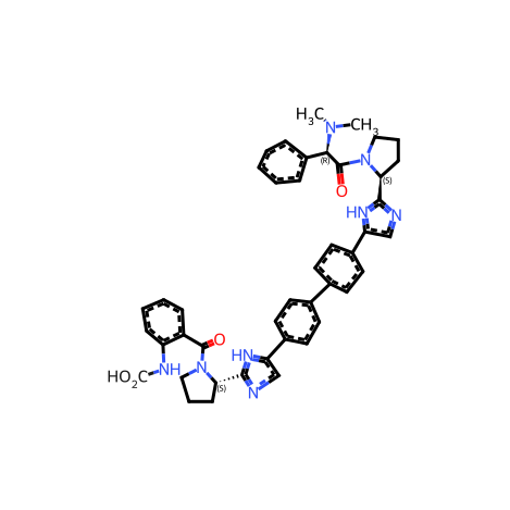 CN(C)[C@@H](C(=O)N1CCC[C@H]1c1ncc(-c2ccc(-c3ccc(-c4cnc([C@@H]5CCCN5C(=O)c5ccccc5NC(=O)O)[nH]4)cc3)cc2)[nH]1)c1ccccc1